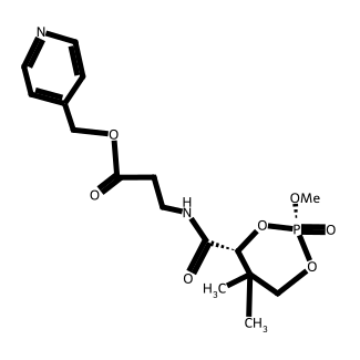 [CH2]O[P@]1(=O)OCC(C)(C)[C@H](C(=O)NCCC(=O)OCc2ccncc2)O1